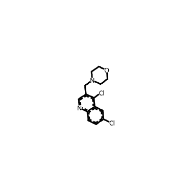 Clc1ccc2ncc(CN3CCOCC3)c(Cl)c2c1